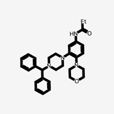 CCC(=O)Nc1ccc(N2CCOCC2)c(N2CCN(C(c3ccccc3)c3ccccc3)CC2)c1